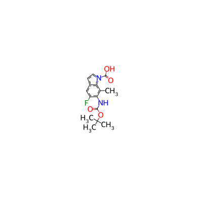 Cc1c(NC(=O)OC(C)(C)C)c(F)cc2ccn(C(=O)O)c12